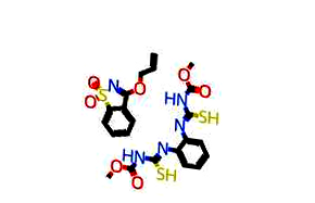 C=CCOC1=NS(=O)(=O)c2ccccc21.COC(=O)NC(S)=Nc1ccccc1N=C(S)NC(=O)OC